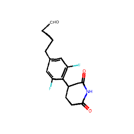 O=CCCCc1cc(F)c(C2CCC(=O)NC2=O)c(F)c1